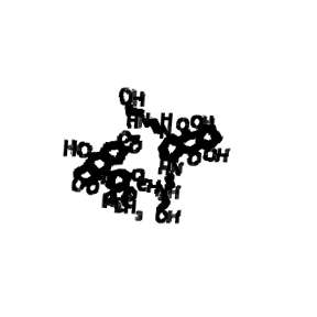 COc1cc([C@@H]2c3cc4c(cc3[C@H](O)C3COC(=O)[C@H]32)OCO4)cc(OC)c1OC.O=C1c2c(O)ccc(O)c2C(=O)c2c(NCCNCCO)ccc(NCCNCCO)c21